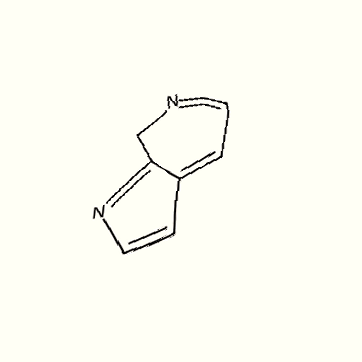 C1=CC2=CC=NCC2=N1